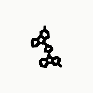 Cc1ccc2c(c1)c1ccccc1n2-c1ccc(-n2c3ccccc3c3cc(C)ccc32)s1